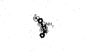 [2H]C([2H])(c1ccccc1)S(=O)(=O)OC1=C(N)O[C@]([2H])(c2ccc3c(c2)OC(F)(F)O3)C1=O